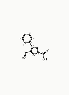 O=Cc1sc(C(=O)O)cc1-c1ccccn1